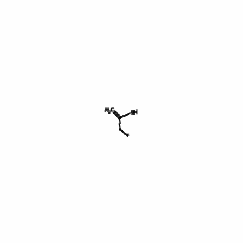 C=C(S)CF